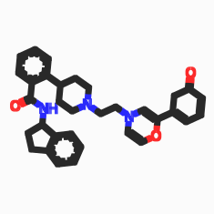 O=C1C=CC=C(C2=CN(CCN3CCC(c4ccccc4C(=O)NC4CCc5ccccc54)CC3)C=CO2)C1